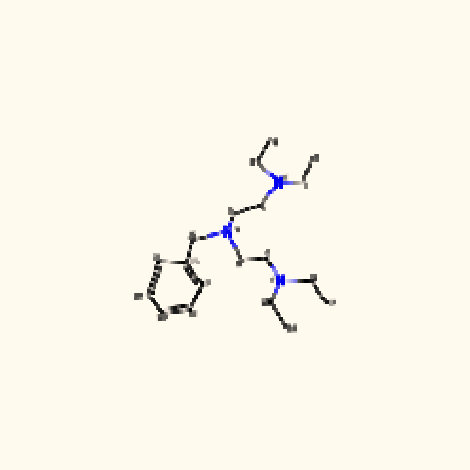 CCN(CC)CCN(CCN(CC)CC)Cc1ccccc1